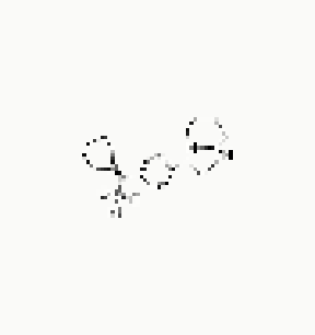 CCS(=O)(=O)N(c1ccc([C@H]2CC[C@H]3CCCCN32)cc1)N1CCCCC1